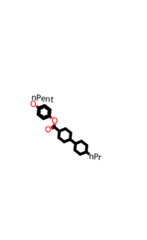 CCCCCOc1ccc(OC(=O)C2CCC(C3CCC(CCC)CC3)CC2)cc1